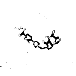 CNC(=O)c1ccc(N2CCN(Cc3ccc4c([nH]c(=O)c5cncn54)c3F)CC2)c(F)n1